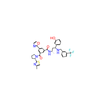 Cc1csc([C@H]2CCCN2C(=O)c2cc(C(=O)N[C@@H](C)CC(NCc3cccc(C(F)(F)F)c3)c3cccc(O)c3)cc(-c3ncco3)c2)n1